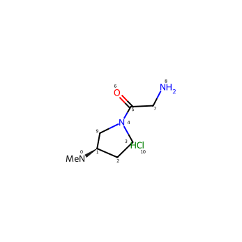 CN[C@@H]1CCN(C(=O)CN)C1.Cl